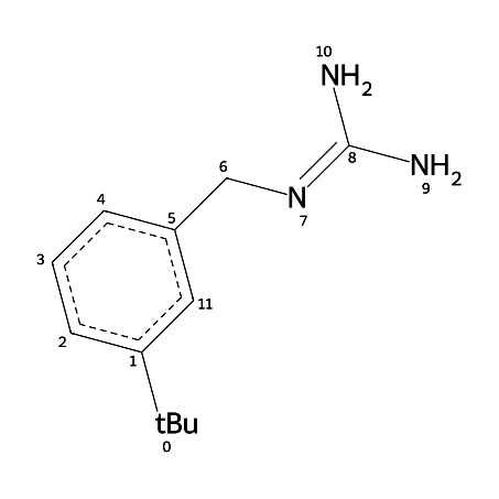 CC(C)(C)c1cccc(CN=C(N)N)c1